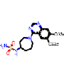 COc1cc2ncnc(N3CCCC(NS(N)(=O)=O)CC3)c2cc1OC